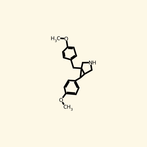 COc1ccc(CC23CNCC2C3c2ccc(OC)cc2)cc1